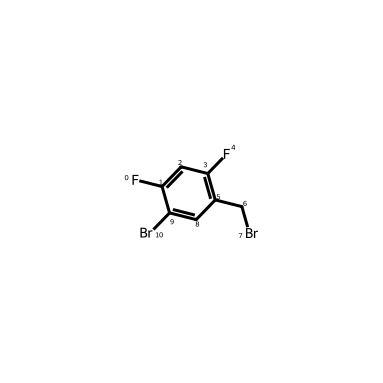 Fc1cc(F)c(CBr)cc1Br